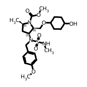 CNS(=O)(=O)N(Cc1ccc(OC)cc1)[C@H]1C[C@@H](C)N(C(=O)OC)[C@H]1COC1CCC(O)CC1